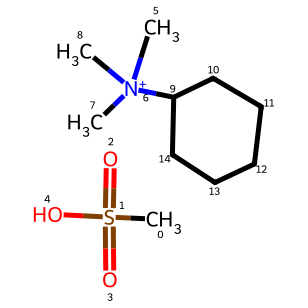 CS(=O)(=O)O.C[N+](C)(C)C1CCCCC1